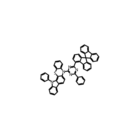 c1ccc(-c2nc(-c3cccc4c3-c3ccccc3C43c4ccccc4-c4ccccc43)nc(N3c4ccccc4Sc4c3ccc3c5ccccc5n(-c5ccccc5)c43)n2)cc1